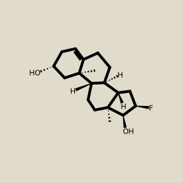 C[C@]12CC[C@H]3[C@@H](CCC4=CC[C@@H](O)C[C@@]43C)[C@@H]1C[C@@H](F)[C@H]2O